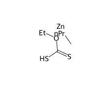 CCCC.CCOC(=S)S.[Zn]